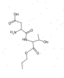 CCCOC(=O)C(NC(=O)C(N)CC(=O)O)C(C)O